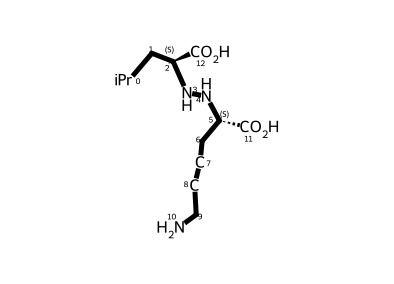 CC(C)C[C@H](NN[C@@H](CCCCN)C(=O)O)C(=O)O